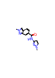 Cn1ccc(NC(=O)c2ccc3cn(C)nc3c2)n1